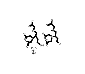 O=C([O-])CNCC(CCO)N(CC(=O)[O-])CC(=O)[O-].O=C([O-])CNCC(CCO)N(CC(=O)[O-])CC(=O)[O-].[Pb+2].[Pb+2].[Pb+2]